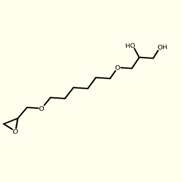 OCC(O)COCCCCCCOCC1CO1